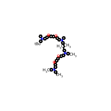 Cc1ccc(N(c2ccc(C)cc2)c2ccc3cc4c(cc3c2)oc2cc3cc5oc6cc7cc(N(c8ccc(C)cc8)c8ccc(CCC(C)(C)c9ccc(N(c%10ccccc%10)c%10ccc%11cc%12c(cc%11c%10)oc%10cc%11cc%13oc%14cc%15cc(N(c%16ccccc%16)c%16ccc(C(C)(C)C)cc%16)ccc%15cc%14c%13cc%11cc%10%12)cc9)cc8)ccc7cc6c5cc3cc24)cc1